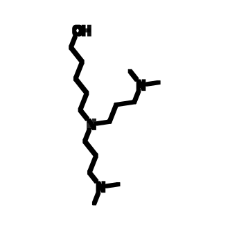 CN(C)CCCN(CCCCCO)CCCN(C)C